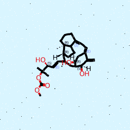 C=C1/C2=C/C=C3/CCC[C@@]4(C)C3CC[C@@H]4[C@](C)(/C=C/[C@H](O)C(C)(C)OC(=O)OC)CC([C@H](O)C2)[C@@H]1O